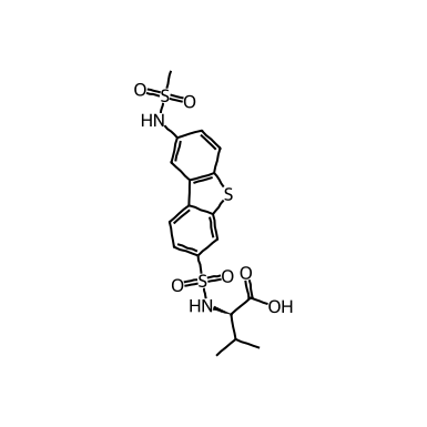 CC(C)[C@@H](NS(=O)(=O)c1ccc2c(c1)sc1ccc(NS(C)(=O)=O)cc12)C(=O)O